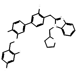 Fc1cc(Cl)ccc1COc1cc(-c2ccc(Cc3nc4ccccc4n3CC3CCCO3)c(F)c2)ccc1F